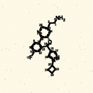 NCCc1ccc(-c2ccc(F)cc2C(=O)c2cnn(C3CCC3)c2)nc1